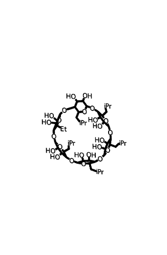 CCC1OC2OC3C(CC(C)C)OC(OC4C(CC(C)C)OC(OC5C(CC(C)C)OC(OC6C(CC(C)C)OC(OC7C(CC(C)C)OC(OC1C(O)C2O)C(O)C7O)C(O)C6O)C(O)C5O)C(O)C4O)C(O)C3O